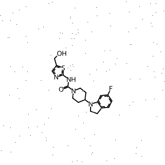 O=C(Nc1ncc(CO)s1)N1CCC(N2CCc3ccc(F)cc32)CC1